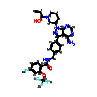 C=CC(O)N1CCC[C@@H](n2nc(-c3ccc(CNC(=O)c4ccc(F)cc4OC(F)(F)F)cc3)c3c(N)ncnc32)C1